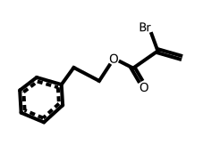 C=C(Br)C(=O)OCCc1ccccc1